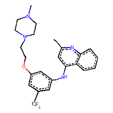 Cc1cc(Nc2cc(OCCN3CCN(C)CC3)cc(C(F)(F)F)c2)c2ccccc2n1